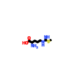 CSC(=N)NCCC[C@@H](N)C(=O)O